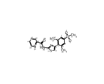 Cc1cc(S(C)(=O)=O)cc(C)c1-c1csc(NC(=O)c2cnccn2)n1